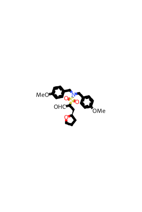 COc1ccc(CN(Cc2ccc(OC)cc2)S(=O)(=O)C(C=O)C[C@H]2CCCO2)cc1